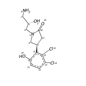 NC[C@H](O)CN1C[C@H](c2c(O)ccc(Cl)c2Cl)CC1=O